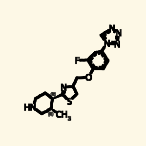 C[C@H]1CNCC[C@H]1C1=NC(COc2ccc(-n3cnnn3)cc2F)CS1